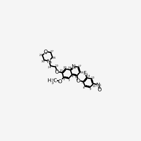 COc1cc2c(Oc3ccc(N=O)cc3F)ccnc2cc1OCCN1CCOCC1